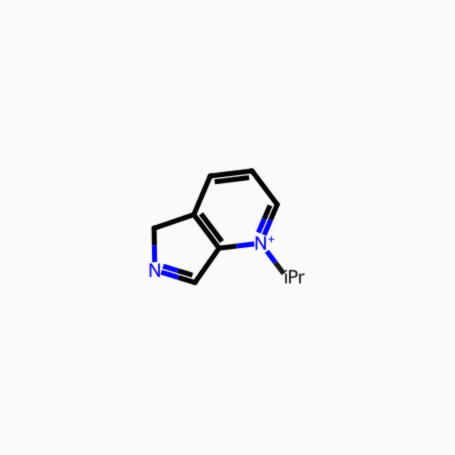 CC(C)[n+]1cccc2c1C=NC2